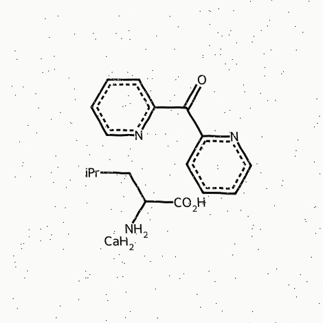 CC(C)CC(N)C(=O)O.O=C(c1ccccn1)c1ccccn1.[CaH2]